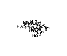 CO[C@@]12CC[C@@H](N[C@@H](CC(C)C)C(=O)O)[C@@H]3Oc4c(O)ccc5c4[C@@]31CCN(CC1CC1)[C@@H]2C5